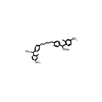 CCCCCCCCCCC(c1ccc(CCCCCc2ccc(C(CCCCCCCCCC)c3ccc(N)cc3C)cc2)cc1)c1ccc(N)cc1C